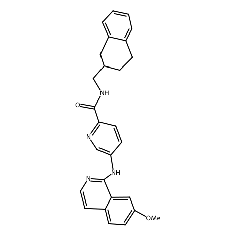 COc1ccc2ccnc(Nc3ccc(C(=O)NCC4CCc5ccccc5C4)nc3)c2c1